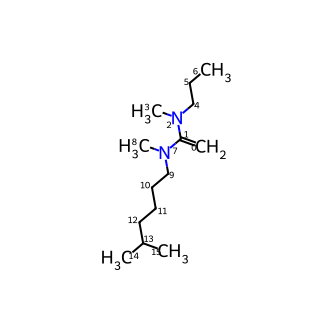 C=C(N(C)CCC)N(C)CCCCC(C)C